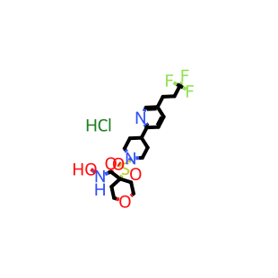 Cl.O=C(NO)C1(S(=O)(=O)N2CCC(c3ccc(CCC(F)(F)F)cn3)CC2)CCOCC1